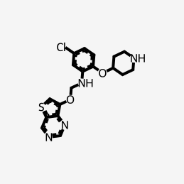 Clc1ccc(OC2CCNCC2)c(NCOc2csc3cncnc23)c1